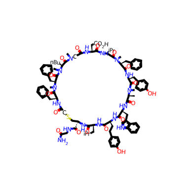 CCCC[C@H]1C(=O)N(C)CC(=O)N[C@@H](CC(=O)O)C(=O)N[C@@H](C(C)C)C(=O)N(C)[C@@H](Cc2ccccc2)C(=O)N[C@@H](Cc2ccc(O)cc2)C(=O)N(C)[C@@H](C)C(=O)N[C@@H](Cc2c[nH]c3ccccc23)C(=O)N[C@@H](CCc2ccc(O)cc2)C(=O)N[C@@H](CC(C)C)C(=O)N[C@H](C(=O)NCC(N)=O)CSCC(=O)N[C@@H](Cc2ccccc2)C(=O)N(C)[C@@H](Cc2ccccc2)C(=O)N1C